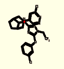 FC(F)(F)Cn1nc(NC2C3CCC2CN(c2cnnc(Cl)c2)C3)nc1Oc1cccc(Cl)c1